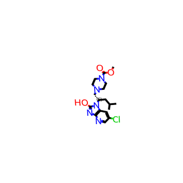 COC(=O)N1CCN(C[C@H](CC(C)C)n2c(O)nc3ncc(Cl)cc32)CC1